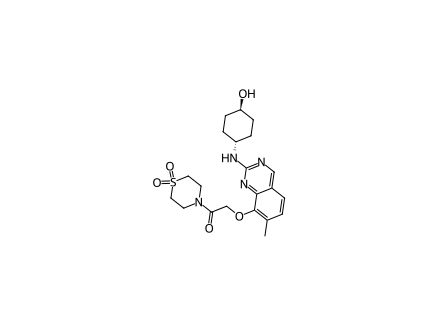 Cc1ccc2cnc(N[C@H]3CC[C@H](O)CC3)nc2c1OCC(=O)N1CCS(=O)(=O)CC1